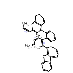 C=C/C=C\C(=C(/C)C1=c2oc3ccccc3c2=CC=CC1)c1ccccc1N1C(C)=C(/C=C\C)CC2=C1C=CCC2